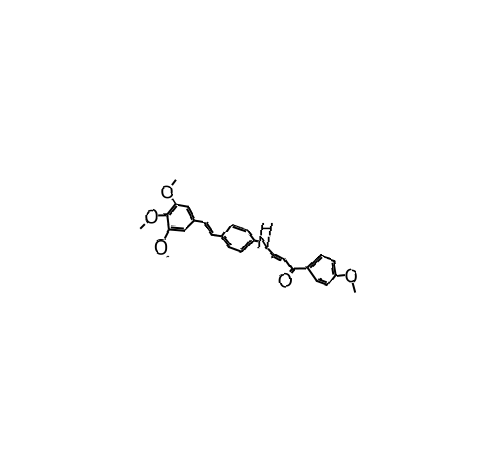 COc1ccc(C(=O)C=CNc2ccc(C=Cc3cc(OC)c(OC)c(OC)c3)cc2)cc1